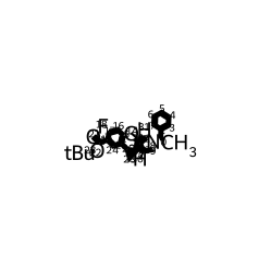 C[C@@H](c1ccccc1)N1C[C@H]2C[C@@H]1[C@H](Oc1cc(F)c(C(=O)OC(C)(C)C)cc1C1CC1)C2